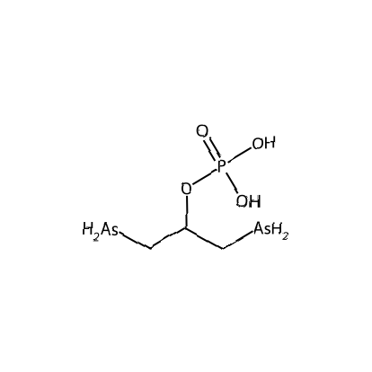 O=P(O)(O)OC(C[AsH2])C[AsH2]